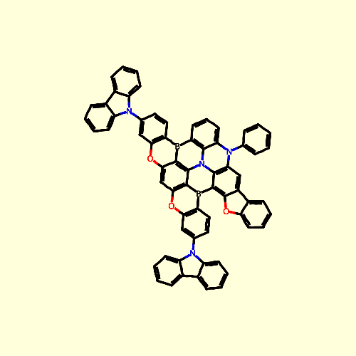 c1ccc(N2c3cccc4c3N3c5c6c(cc7c5B(c5ccc(-n8c9ccccc9c9ccccc98)cc5O7)c5c3c2cc2c5oc3ccccc32)Oc2cc(-n3c5ccccc5c5ccccc53)ccc2B46)cc1